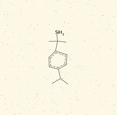 CC(C)c1ccc(C(C)(C)[SiH3])cc1